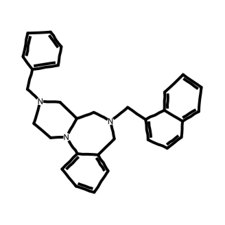 c1ccc(CN2CCN3c4ccccc4CN(Cc4cccc5ccccc45)CC3C2)cc1